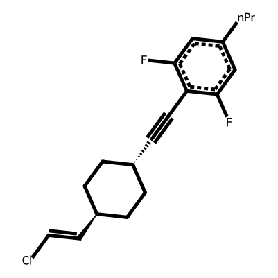 CCCc1cc(F)c(C#C[C@H]2CC[C@H](C=CCl)CC2)c(F)c1